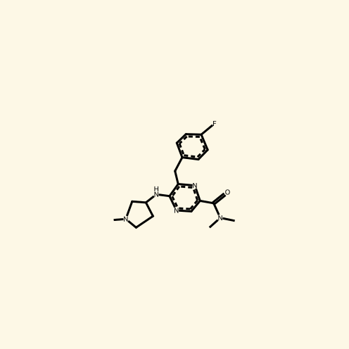 CN1CCC(Nc2ncc(C(=O)N(C)C)nc2Cc2ccc(F)cc2)C1